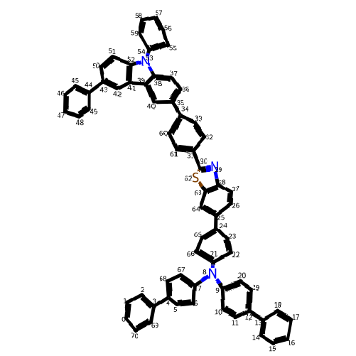 c1ccc(-c2ccc(N(c3ccc(-c4ccccc4)cc3)c3ccc(-c4ccc5nc(-c6ccc(-c7ccc8c(c7)c7cc(-c9ccccc9)ccc7n8-c7ccccc7)cc6)sc5c4)cc3)cc2)cc1